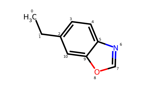 C[CH]c1ccc2ncoc2c1